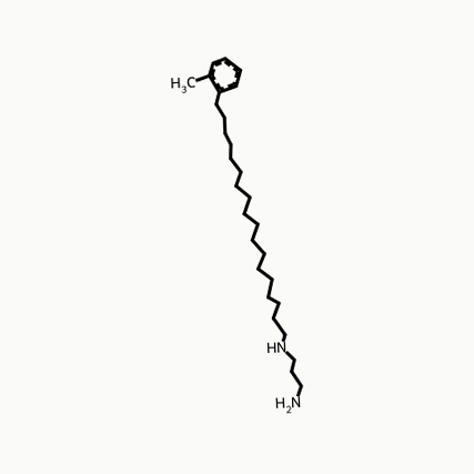 Cc1ccccc1CCCCCCCCCCCCCCCCCCNCCCN